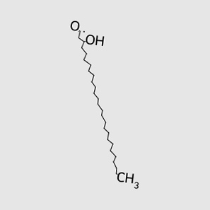 CCCCCCCCCCCCCCCCCCCCCCCCC(O)C[C]=O